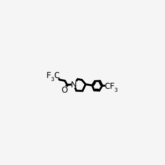 O=C(CCC(F)(F)F)N1CCC(c2ccc(C(F)(F)F)cc2)CC1